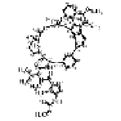 C=CC(=O)Nc1cnc(C(=O)N(C)[C@H](C(=O)N[C@H]2Cc3cccc(c3)-c3ccc4c(c3)c(c(-c3cccnc3[C@H](C)OC)n4CC)CC(C)(C)COC(=O)[C@@]3(O)CCCN(N3)C2=O)C(C)C)n1C